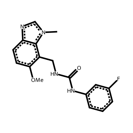 COc1ccc2ncn(C)c2c1CNC(=O)Nc1cccc(F)c1